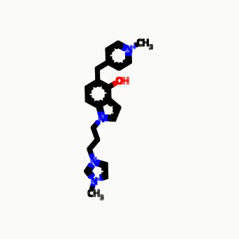 C[n+]1ccc(Cc2ccc3c(ccn3CCCn3cc[n+](C)c3)c2O)cc1